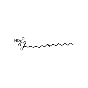 CCCCCCCC/C=C/CCCCCCCC(=O)OS(=O)(=O)O